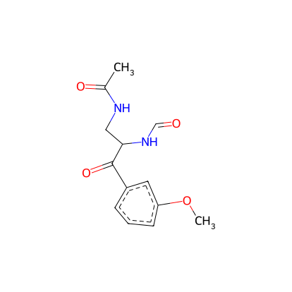 COc1cccc(C(=O)C(CNC(C)=O)NC=O)c1